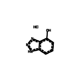 Cl.Oc1cccc2[nH]nnc12